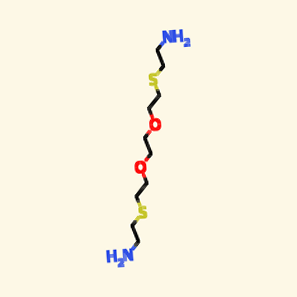 NCCSCCOCCOCCSCCN